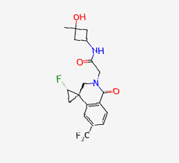 CC1(O)CC(NC(=O)CN2C[C@]3(C[C@@H]3F)c3cc(C(F)(F)F)ccc3C2=O)C1